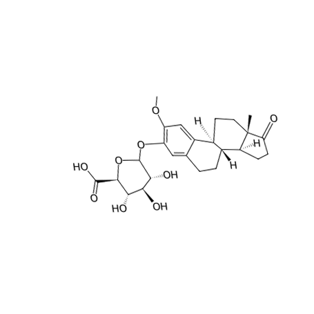 COc1cc2c(cc1OC1O[C@H](C(=O)O)[C@@H](O)[C@H](O)[C@H]1O)CC[C@@H]1[C@@H]2CC[C@]2(C)C(=O)CC[C@@H]12